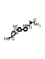 N#Cc1cc(-c2cccc(NC(=O)[C@@H]3C[C@@H]3C(N)=O)c2)ccc1O[C@H]1CCN(C(=O)CO)C[C@H]1F